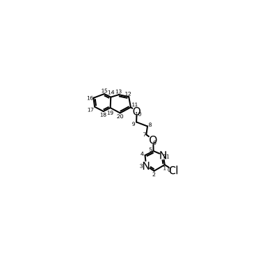 Clc1cncc(OCCCOc2ccc3ccccc3c2)n1